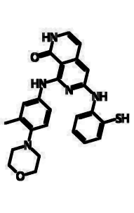 Cc1cc(Nc2nc(Nc3ccccc3S)cc3cc[nH]c(=O)c23)ccc1N1CCOCC1